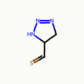 S=CC1CN=NN1